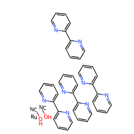 N#CO.N#CO.[Ru].c1ccc(-c2ccccn2)nc1.c1ccc(-c2ccccn2)nc1.c1ccc(-c2ccccn2)nc1.c1ccc(-c2ccccn2)nc1